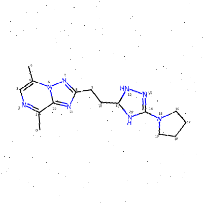 Cc1ncc(C)n2nc(CCC3NN=C(N4CCCC4)N3)nc12